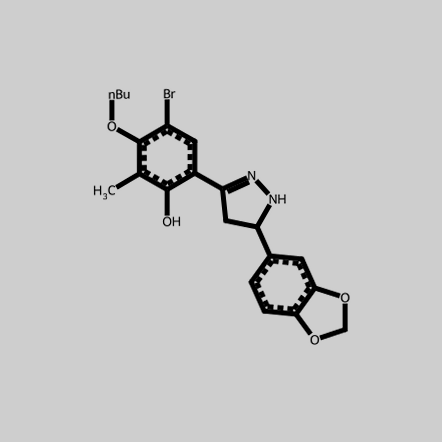 CCCCOc1c(Br)cc(C2=NNC(c3ccc4c(c3)OCO4)C2)c(O)c1C